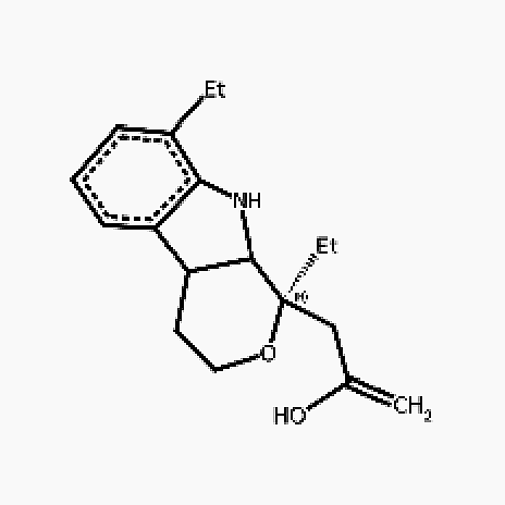 C=C(O)C[C@@]1(CC)OCCC2c3cccc(CC)c3NC21